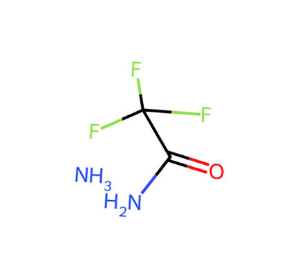 N.NC(=O)C(F)(F)F